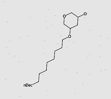 [CH2]CCCCCCCCCCCCCCCCCOC1COCC([O])C1